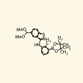 COC(OC)c1ccc2snc(Nc3cccc(B4OC(C)(C)C(C)(C)O4)c3C)c2c1